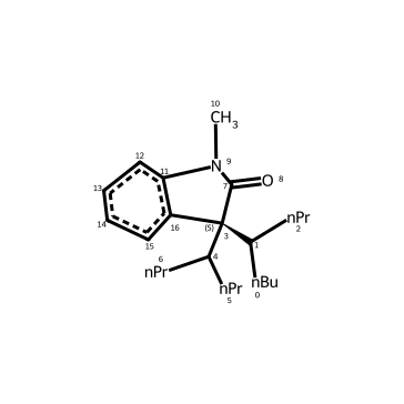 CCCCC(CCC)[C@]1(C(CCC)CCC)C(=O)N(C)c2ccccc21